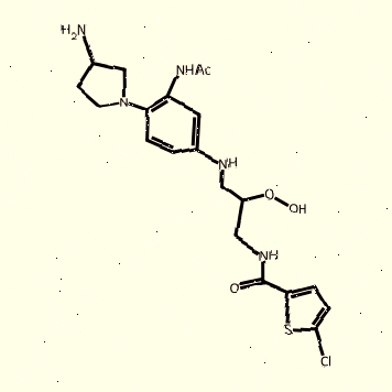 CC(=O)Nc1cc(NCC(CNC(=O)c2ccc(Cl)s2)OO)ccc1N1CCC(N)C1